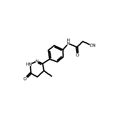 CC1CC(=O)NN=C1c1ccc(NC(=O)CC#N)cc1